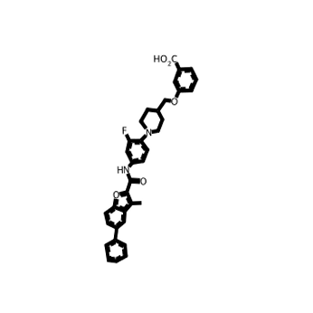 Cc1c(C(=O)Nc2ccc(N3CCC(COc4cccc(C(=O)O)c4)CC3)c(F)c2)oc2ccc(-c3ccccc3)cc12